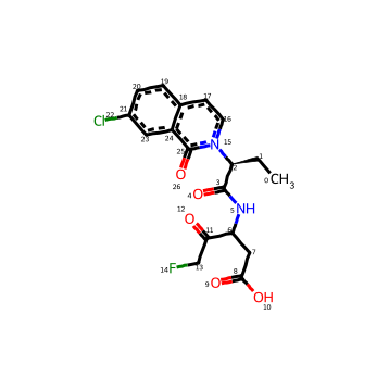 CC[C@@H](C(=O)NC(CC(=O)O)C(=O)CF)n1ccc2ccc(Cl)cc2c1=O